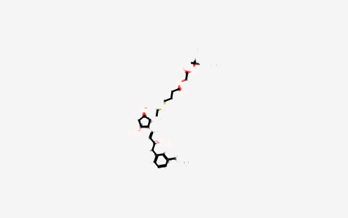 CCCCCCC(C)(C)OC(=O)COC(=O)CCCSCC[C@H]1C(=O)C[C@@H](O)[C@@H]1C=C[C@@H](O)Cc1cccc(COC)c1